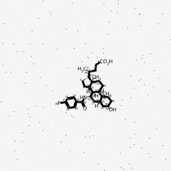 C[C@H](CCC(=O)O)[C@H]1CC[C@H]2[C@@H]3[C@@H](NC(=O)c4ccc(F)cc4)C[C@@H]4C[C@H](O)CC[C@]4(C)[C@H]3CC[C@]12C